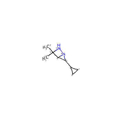 CC1(C)NN2C(C3CC3)C21